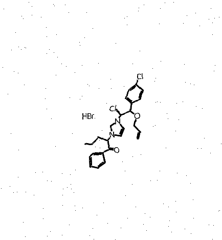 Br.C=CCOC(c1ccc(Cl)cc1)C(Cl)N1C=CN(C(CCC)C(=O)c2ccccc2)C1